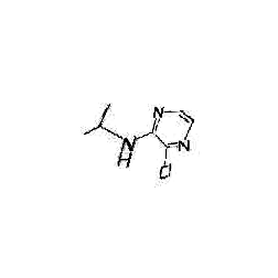 CC(C)Nc1nccnc1Cl